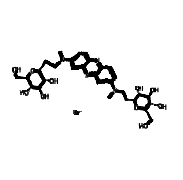 CN(CC[C@@H]1O[C@H](CO)[C@@H](O)[C@H](O)[C@H]1O)c1ccc2nc3ccc(N(C)CC[C@@H]4O[C@H](CO)[C@@H](O)[C@H](O)[C@H]4O)cc3[s+]c2c1.[Br-]